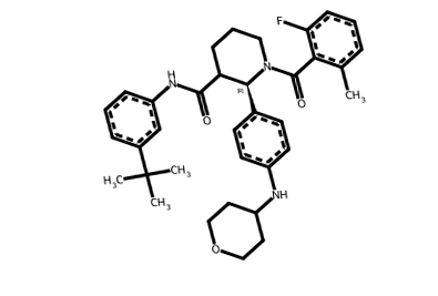 Cc1cccc(F)c1C(=O)N1CCCC(C(=O)Nc2cccc(C(C)(C)C)c2)[C@@H]1c1ccc(NC2CCOCC2)cc1